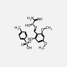 COc1cc(O)c(/C=N/N(O)C(=N)N)c(OC)c1.Cc1ccc(S(=O)(=O)O)cc1